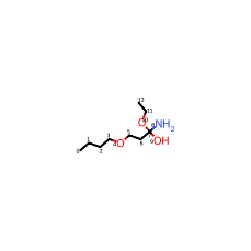 CCCCOCCC(N)(O)OCC